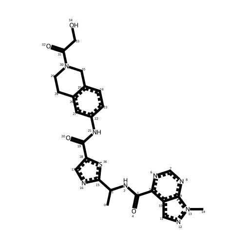 CC(NC(=O)c1ncnc2c1cnn2C)c1ncc(C(=O)Nc2ccc3c(c2)CCN(C(=O)CO)C3)s1